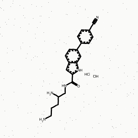 Cl.Cl.N#Cc1ccc(-c2ccc3cc(C(=O)NCC(N)CCCN)[nH]c3c2)cc1